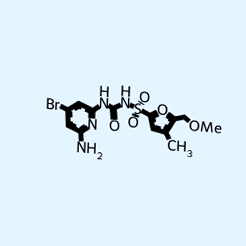 COCc1oc(S(=O)(=O)NC(=O)Nc2cc(Br)cc(N)n2)cc1C